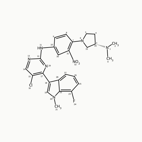 CN(C)[C@H]1CCN(c2ccc(Nc3ncc(Cl)c(-c4cn(C)c5c(F)cccc45)n3)cc2[N+](=O)[O-])C1